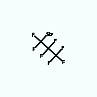 FC(F)(F)C(F)(F)[C](F)(F)[Sb]